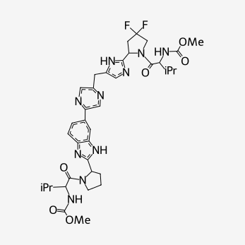 COC(=O)NC(C(=O)N1CC(F)(F)CC1c1ncc(Cc2cnc(-c3ccc4nc(C5CCCN5C(=O)C(NC(=O)OC)C(C)C)[nH]c4c3)cn2)[nH]1)C(C)C